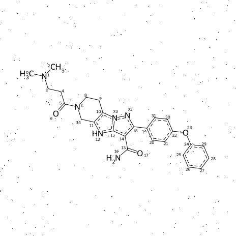 CN(C)CCC(=O)N1CCc2c([nH]c3c(C(N)=O)c(-c4ccc(Oc5ccccc5)cc4)nn23)C1